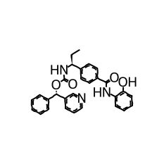 CC[C@H](NC(=O)O[C@@H](c1ccccc1)c1cccnc1)c1ccc(C(=O)Nc2ccccc2O)cc1